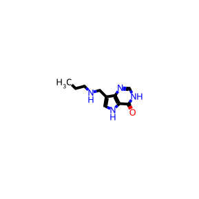 CCCNCc1c[nH]c2c(=O)[nH]cnc12